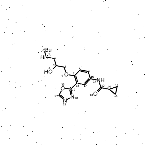 CC(C)(C)NCC(O)COc1ccc(NC(=O)C2CC2)cc1-c1nnco1